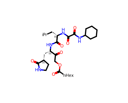 CCCCCCC(=O)OCC(=O)[C@H](C[C@@H]1CCNC1=O)NC(=O)[C@H](CC(C)C)NC(=O)C(=O)NC1CCCCC1